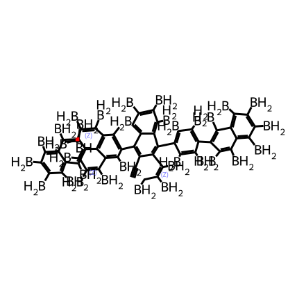 B=C(B)/C(B)=C(/B)c1c(C)c(-c2c(C#C)c(/C(B)=C(/B)CB)c(-c3c(B)c(B)c(-c4c(B)c(B)c5c(B)c(B)c(B)c(B)c5c4B)c(B)c3B)c3c(B)c(B)c(B)c(B)c23)c(B)c(/C(B)=C(/B)C(B)=C)c1-c1c(B)c(B)c2c(B)c(B)c(B)c(B)c2c1B